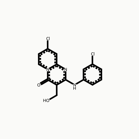 O=c1c(CO)c(Nc2cccc(Cl)c2)nc2cc(Cl)ccn12